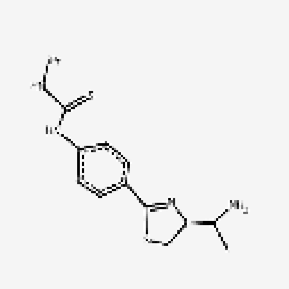 CC(C)NC(=S)Nc1ccc(C2=N[C@@H](C(C)N)CS2)cc1